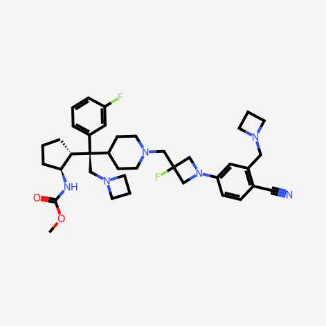 COC(=O)N[C@H]1CCC[C@@H]1[C@](CN1CCC1)(c1cccc(F)c1)C1CCN(CC2(F)CN(c3ccc(C#N)c(CN4CCC4)c3)C2)CC1